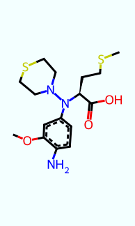 COc1cc(N([C@@H](CCSC)C(=O)O)N2CCSCC2)ccc1N